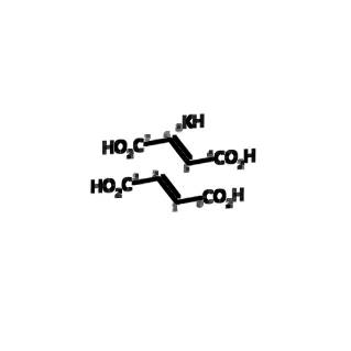 O=C(O)C=CC(=O)O.O=C(O)C=CC(=O)O.[KH]